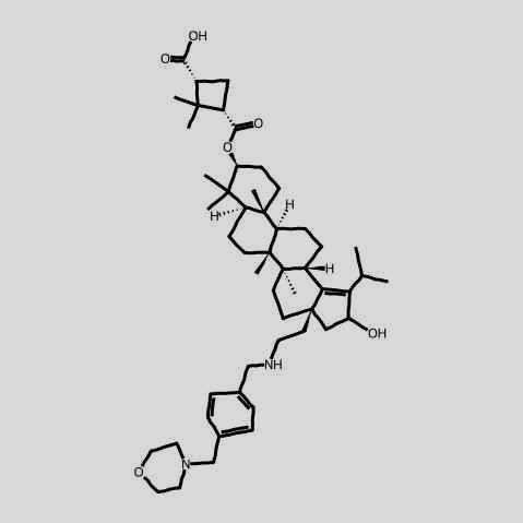 CC(C)C1=C2[C@H]3CC[C@@H]4[C@@]5(C)CC[C@H](OC(=O)[C@H]6C[C@@H](C(=O)O)C6(C)C)C(C)(C)[C@@H]5CC[C@@]4(C)[C@]3(C)CC[C@@]2(CCNCc2ccc(CN3CCOCC3)cc2)CC1O